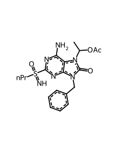 CCCS(=N)(=O)c1nc(N)c2c(n1)n(Cc1ccccc1)c(=O)n2C(C)OC(C)=O